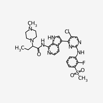 CCC(C(=O)Nc1nccc2c(-c3nc(Nc4cccc(S(C)(=O)=O)c4F)ncc3Cl)c[nH]c12)N1CCN(C)CC1